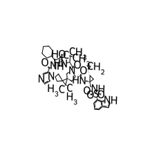 C=C[C@@H]1C[C@]1(NC(=O)[C@@H]1C[C@@]2(CN1C(=O)[C@@H](NC(=O)[C@@H](NC(=O)c1cnccn1)C1CCCCC1)C(C)(C)C)C(C)(C)C21CCC1)C(=O)NS(=O)(=O)c1cccc2cc[nH]c12